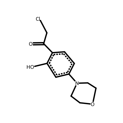 O=C(CCl)c1ccc(N2CCOCC2)cc1O